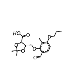 CCCOc1ccc(C=O)c(OC[C@@H]2OC(C)(C)O[C@H]2C(=O)O)c1C